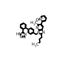 CCCCc1nc2cc(-c3cccc[n+]3[O-])c(C)nc2n1Cc1ccc(-c2ccccc2-c2nnn[nH]2)cc1